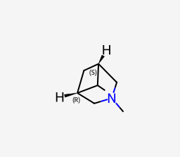 CC1[C@@H]2C[C@H]1CN(C)C2